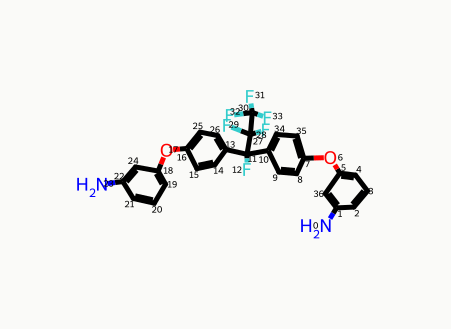 Nc1cccc(Oc2ccc(C(F)(c3ccc(Oc4cccc(N)c4)cc3)C(F)(F)C(F)(F)F)cc2)c1